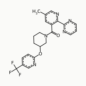 Cc1cnc(-c2ncccn2)c(C(=O)N2CCCC(Oc3ccc(C(F)(F)F)cn3)C2)c1